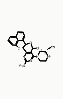 CSc1nc2c(c(N3CCN[C@@H](CC#N)C3)n1)C(C)OC(c1cccc3cccc(Cl)c13)C2